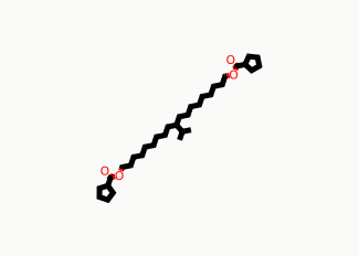 CC(C)C(CCCCCCCCCOC(=O)C1CCCC1)CCCCCCCCCOC(=O)C1CCCC1